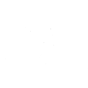 CCCCCCCCCC[Si](C)(C)CCOC1(C)OC2OC(COC(C)=O)C(OC(C)=O)C(OC(C)=O)C2O1